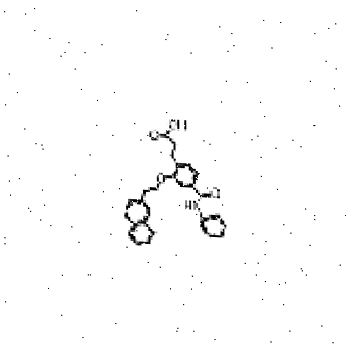 O=C(O)CCc1ccc(C(=O)Nc2ccccc2)cc1OCCc1ccc2ccccc2c1